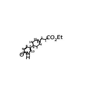 CCOC(=O)CCN1CCC(c2ccc(=O)[nH]c2)CC1